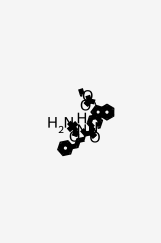 CCOC(=O)C[C@H]1CC2(CCN(C(=O)[C@@H](CCCc3ccccc3)NC(=O)C(C)(C)N)CC2)c2ccccc21